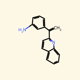 C=C(c1cccc(N)c1)c1ccc2ccccc2n1